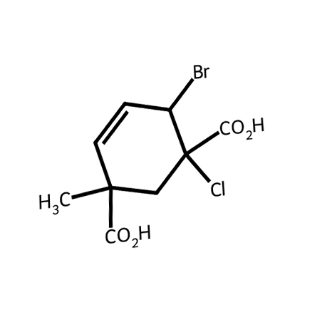 CC1(C(=O)O)C=CC(Br)C(Cl)(C(=O)O)C1